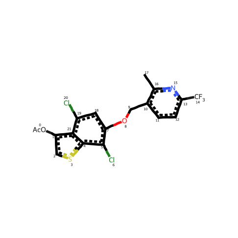 CC(=O)Oc1csc2c(Cl)c(OCc3ccc(C(F)(F)F)nc3C)cc(Cl)c12